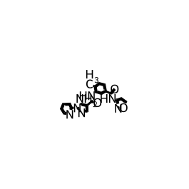 Cc1ccc(C(=O)Nc2ccon2)cc1NC(=O)c1cnn(-c2ccccn2)c1N